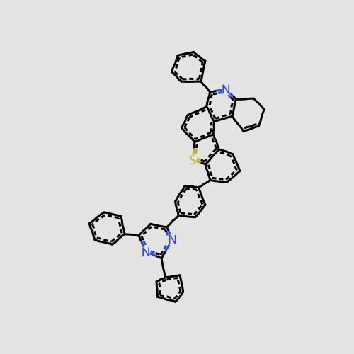 C1=Cc2c(nc(-c3ccccc3)c3ccc4sc5c(-c6ccc(-c7cc(-c8ccccc8)nc(-c8ccccc8)n7)cc6)cccc5c4c23)CC1